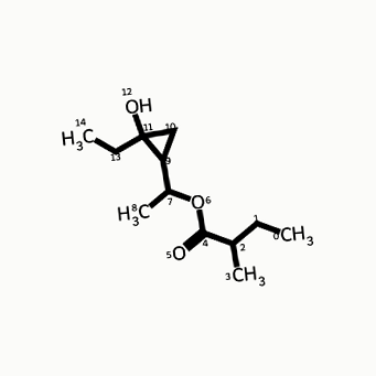 CCC(C)C(=O)OC(C)C1CC1(O)CC